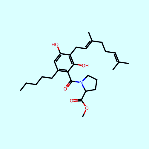 CCCCCc1cc(O)c(C/C=C(\C)CCC=C(C)C)c(O)c1C(=O)N1CCCC1C(=O)OC